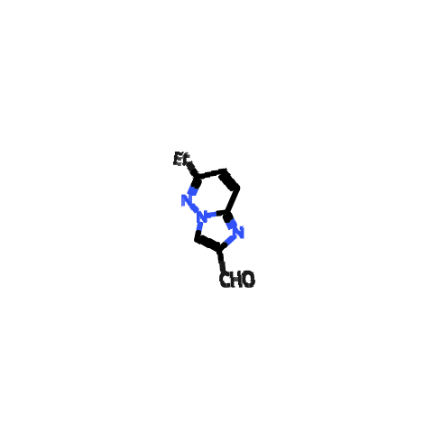 CCc1ccc2nc(C=O)cn2n1